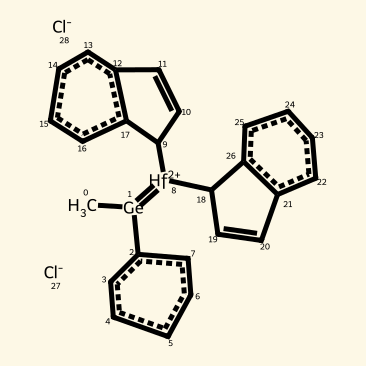 [CH3][Ge]([c]1ccccc1)=[Hf+2]([CH]1C=Cc2ccccc21)[CH]1C=Cc2ccccc21.[Cl-].[Cl-]